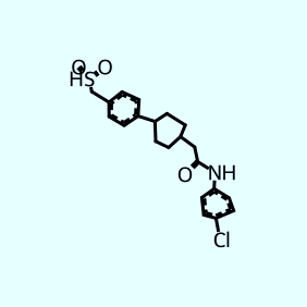 O=C(CC1CCC(c2ccc(C[SH](=O)=O)cc2)CC1)Nc1ccc(Cl)cc1